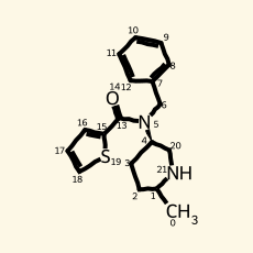 CC1CC[C@@H](N(Cc2ccccc2)C(=O)c2cccs2)CN1